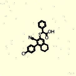 N#Cc1c(SC(C(=O)O)c2ccccc2)cc2c(c1-c1ccc(Cl)cc1)CCCC2